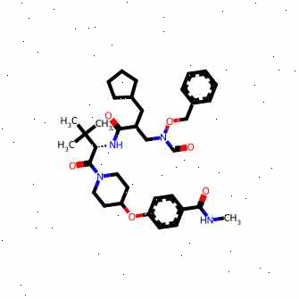 CNC(=O)c1ccc(OC2CCN(C(=O)[C@@H](NC(=O)C(CC3CCCC3)CN(C=O)OCc3ccccc3)C(C)(C)C)CC2)cc1